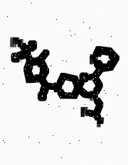 Cc1cc(C(=O)N2CCC3(CC2)CN(CC(F)F)CC(c2ccccn2)O3)ccc1S(=O)(=O)C(C)C